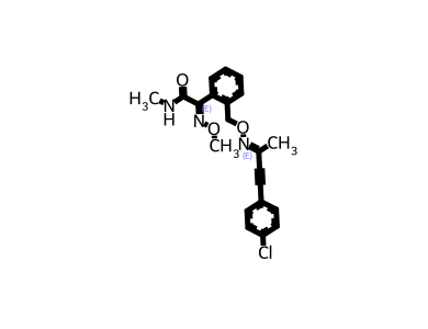 CNC(=O)/C(=N/OC)c1ccccc1CO/N=C(\C)C#Cc1ccc(Cl)cc1